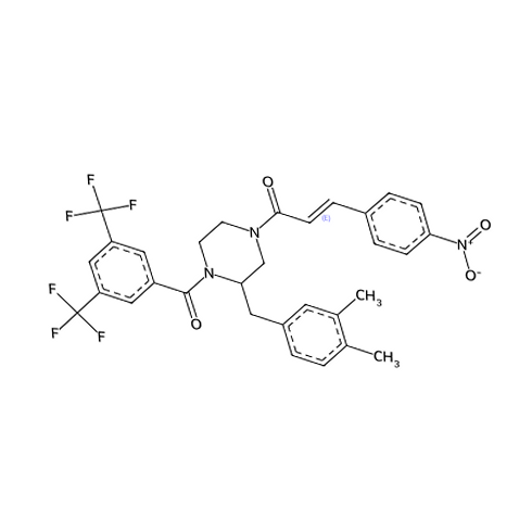 Cc1ccc(CC2CN(C(=O)/C=C/c3ccc([N+](=O)[O-])cc3)CCN2C(=O)c2cc(C(F)(F)F)cc(C(F)(F)F)c2)cc1C